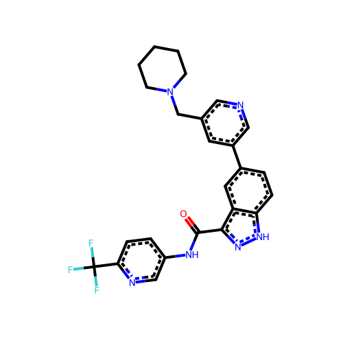 O=C(Nc1ccc(C(F)(F)F)nc1)c1n[nH]c2ccc(-c3cncc(CN4CCCCC4)c3)cc12